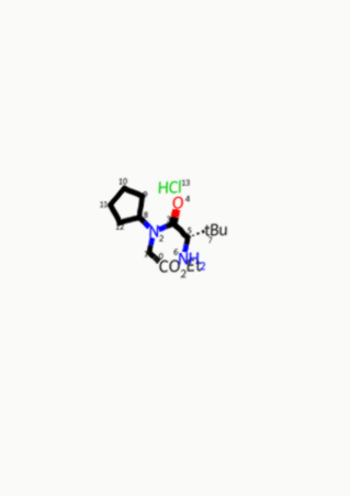 CCOC(=O)CN(C(=O)[C@@H](N)C(C)(C)C)C1CCCC1.Cl